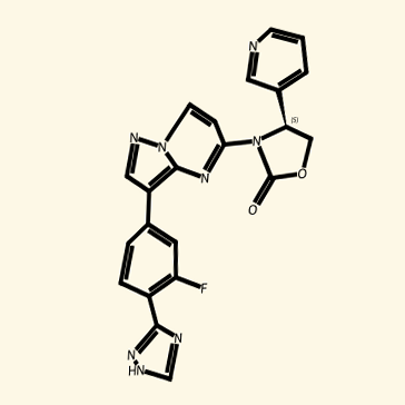 O=C1OC[C@H](c2cccnc2)N1c1ccn2ncc(-c3ccc(-c4nc[nH]n4)c(F)c3)c2n1